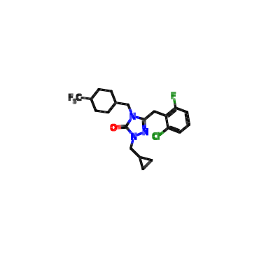 O=c1n(CC2CC2)nc(Cc2c(F)cccc2Cl)n1CC1CCC(C(F)(F)F)CC1